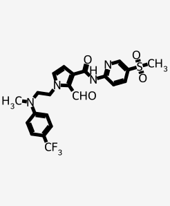 CN(CCn1ccc(C(=O)Nc2ccc(S(C)(=O)=O)cn2)c1C=O)c1ccc(C(F)(F)F)cc1